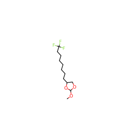 COC1OCC(CCCCCCCC(F)(F)F)O1